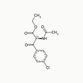 CCOC(=O)[C@@H](NC(C)=O)C(=O)c1ccc(Cl)cc1